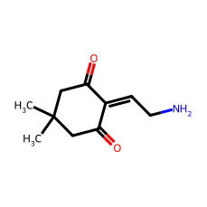 CC1(C)CC(=O)C(=CCN)C(=O)C1